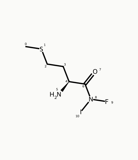 CSCC[C@H](N)C(=O)N(F)I